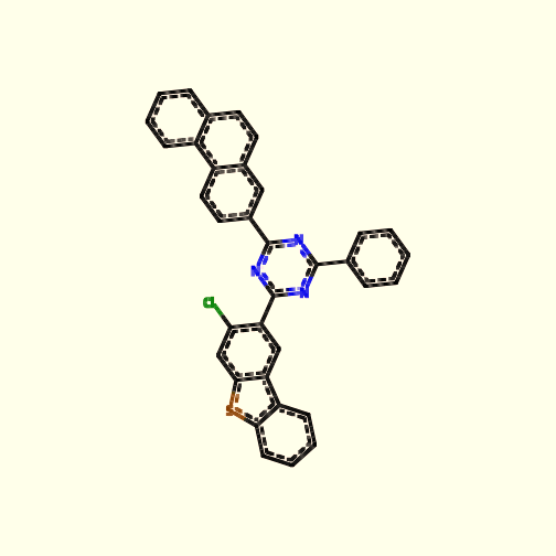 Clc1cc2sc3ccccc3c2cc1-c1nc(-c2ccccc2)nc(-c2ccc3c(ccc4ccccc43)c2)n1